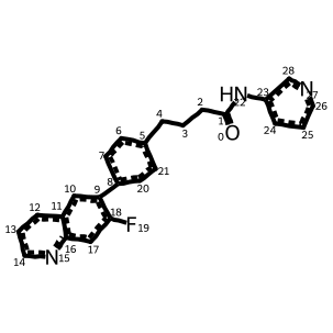 O=C(CCCc1ccc(-c2cc3cccnc3cc2F)cc1)Nc1cccnc1